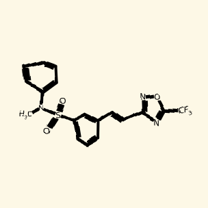 CN(c1ccccc1)S(=O)(=O)c1cccc(C=Cc2noc(C(F)(F)F)n2)c1